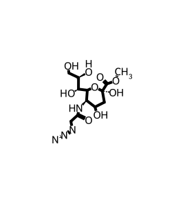 COC(=O)[C@@]1(O)CC(O)[C@@H](NC(=O)CN=[N+]=[N-])C([C@H](O)[C@H](O)CO)O1